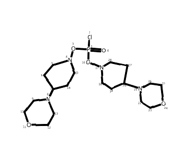 O=P(Cl)(ON1CCC(N2CCOCC2)CC1)ON1CCC(N2CCOCC2)CC1